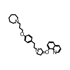 c1cnc2c(O[C@H]3CCN(CCc4ccc(OCCCN5CCCCCC5)cc4)C3)cccc2c1